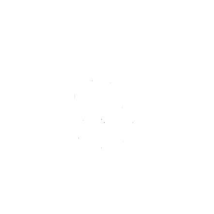 CCOC(=O)c1c(O)c(O)c(C(=O)OCC)n1-c1cc(F)c(OCC)c(F)c1